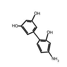 Nc1ccc(-c2cc(O)cc(O)c2)c(O)c1